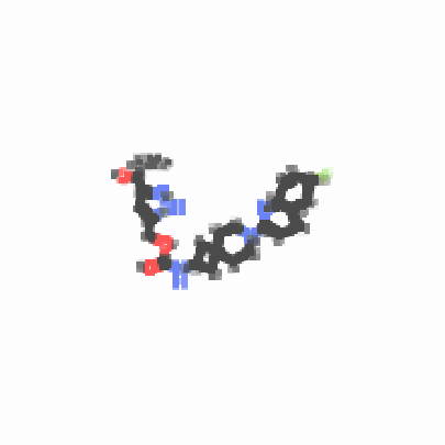 CNC(=O)c1cc(COC(=O)NC2CC3(CCN(c4ccc5cc(F)ccc5n4)CC3)C2)[nH]n1